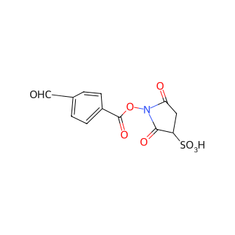 O=Cc1ccc(C(=O)ON2C(=O)CC(S(=O)(=O)O)C2=O)cc1